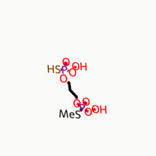 CSP(=O)(OO)OCCCOP(=O)(S)OO